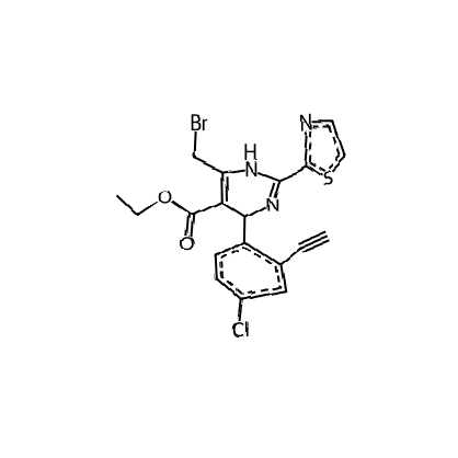 C#Cc1cc(Cl)ccc1C1N=C(c2nccs2)NC(CBr)=C1C(=O)OCC